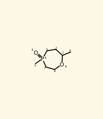 CC1CCP(C)(=O)CCO1